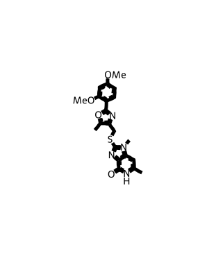 COc1ccc(-c2nc(CSc3nc4c(=O)[nH]c(C)cc4n3C)c(C)o2)c(OC)c1